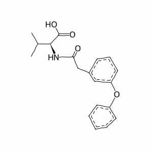 CC(C)[C@H](NC(=O)Cc1cccc(Oc2ccccc2)c1)C(=O)O